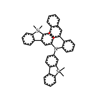 C[Si]1(C)c2ccccc2-c2cc(N(c3ccc4c(c3)[Si](C)(C)c3ccccc3-4)c3ccccc3-c3ccc4ccccc4c3)ccc21